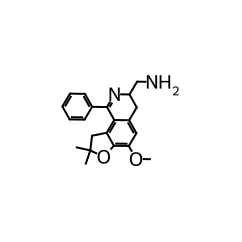 COc1cc2c(c3c1OC(C)(C)C3)C(c1ccccc1)=NC(CN)C2